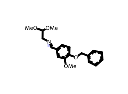 COc1cc(/C=N/CC(OC)OC)ccc1OCc1ccccc1